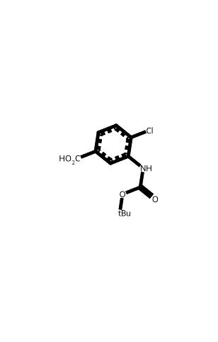 CC(C)(C)OC(=O)Nc1cc(C(=O)O)ccc1Cl